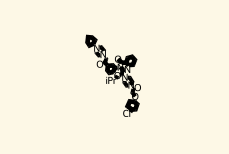 CC(C)Oc1ccc(C(=O)CN2CCN(c3ccccc3)CC2)cc1-n1c(CN2CCN(C(=O)COc3ccc(Cl)cc3)CC2)nc2ccccc2c1=O